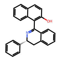 Oc1ccc2ccccc2c1C1=N[C@@H](c2ccccc2)Cc2ccccc21